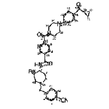 N#Cc1ccc(CN2CC[C@@H](NC(=O)c3ccc(C(=O)N4CCN(c5ccc(C(=O)C6CC6)cc5)CC4)nc3)[C@H](F)C2)cc1